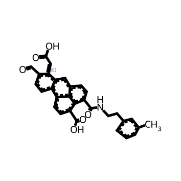 Cc1cccc(CCNC(=O)c2ccc3cc4/c(=C/C(=O)O)c(C=O)ccc4c4ccc(C(=O)O)c2c34)c1